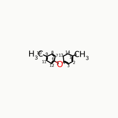 CC1=CC=C(Oc2ccc(C)cc2)CC1